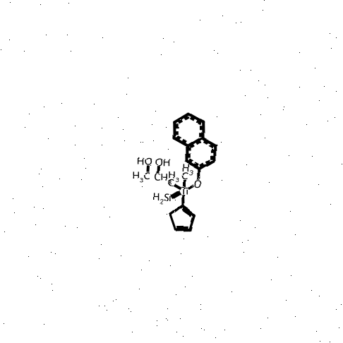 CO.CO.[CH3][Ti]([CH3])(=[SiH2])([O]c1ccc2ccccc2c1)[C]1=CC=CC1